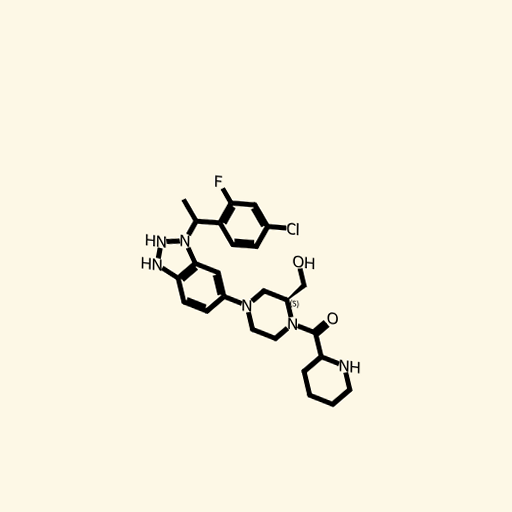 CC(c1ccc(Cl)cc1F)N1NNc2ccc(N3CCN(C(=O)C4CCCCN4)[C@H](CO)C3)cc21